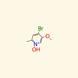 COc1c[n+](O)c(C)cc1Br